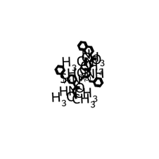 CC(C)(C)NC(=O)C1C[C@H](Sc2ccccc2)CCN1C[C@@H](O)[C@H](Cc1ccccc1)NC(=O)CN(C(=O)c1ccc2ccccc2n1)C(C)(C)C